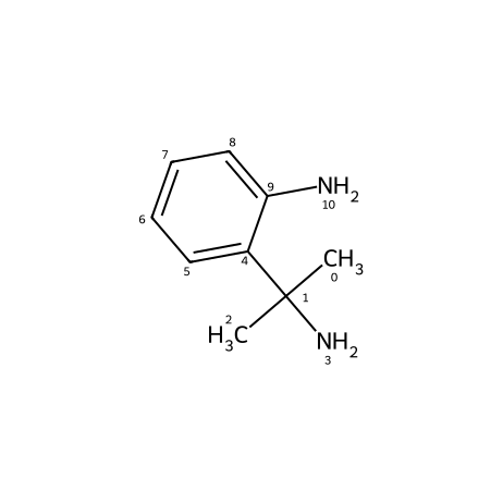 CC(C)(N)c1ccccc1N